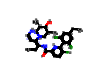 C=C/C(NC(=O)c1ccc(F)c(-c2c(F)cc(CC)cc2F)n1)=C(\C=C/N)N1CC(C)C(O)[C@@H](C)C1